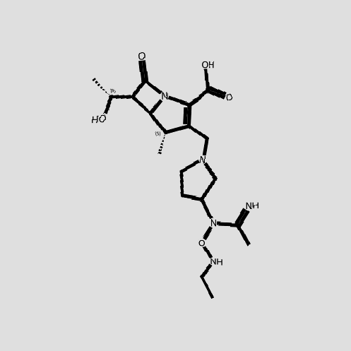 CCNON(C(C)=N)C1CCN(CC2=C(C(=O)O)N3C(=O)C([C@@H](C)O)C3[C@H]2C)C1